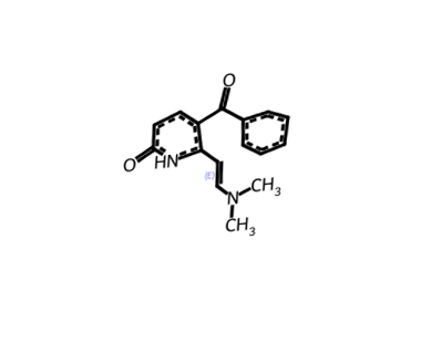 CN(C)/C=C/c1[nH]c(=O)ccc1C(=O)c1ccccc1